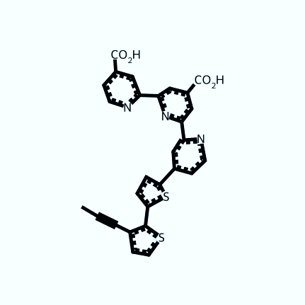 CC#Cc1ccsc1-c1ccc(-c2ccnc(-c3cc(C(=O)O)cc(-c4cc(C(=O)O)ccn4)n3)c2)s1